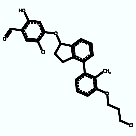 Cc1c(OCCCCl)cccc1-c1cccc2c1CCC2Oc1cc(O)c(C=O)cc1Cl